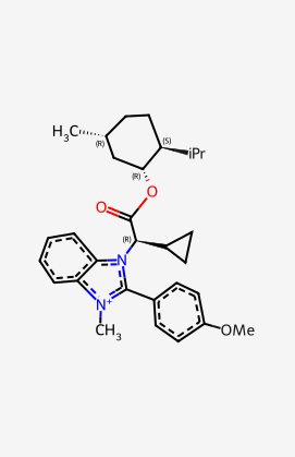 COc1ccc(-c2n([C@@H](C(=O)O[C@@H]3C[C@H](C)CC[C@H]3C(C)C)C3CC3)c3ccccc3[n+]2C)cc1